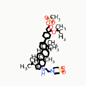 C=C(C)[C@@H]1CC[C@]2(NCCN3CCS(=O)(=O)CC3)CC[C@]3(C)[C@H](CC[C@@H]4[C@@]5(C)CC=C(C6=CCC(CCOS(C)(=O)=O)(C(=O)OC(C)C)CC6)C(C)(C)[C@@H]5CC[C@]43C)[C@@H]12